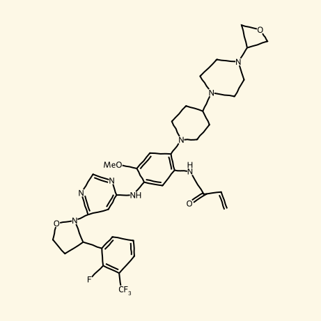 C=CC(=O)Nc1cc(Nc2cc(N3OCCC3c3cccc(C(F)(F)F)c3F)ncn2)c(OC)cc1N1CCC(N2CCN(C3COC3)CC2)CC1